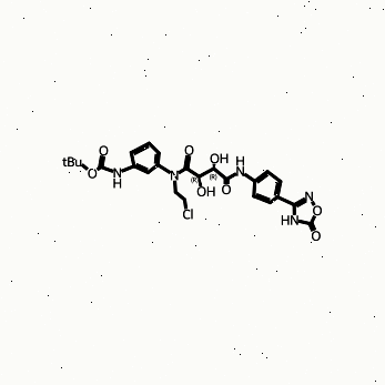 CC(C)(C)OC(=O)Nc1cccc(N(CCCl)C(=O)[C@H](O)[C@@H](O)C(=O)Nc2ccc(-c3noc(=O)[nH]3)cc2)c1